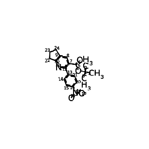 CC(C)(C)OC(=O)c1cc2c(nc1-c1ccc([N+](=O)[O-])cc1)CCC2